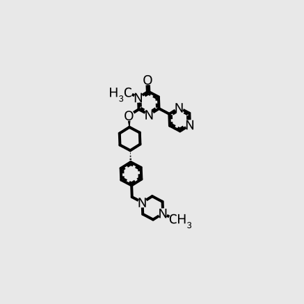 CN1CCN(Cc2ccc([C@H]3CC[C@H](Oc4nc(-c5ccncn5)cc(=O)n4C)CC3)cc2)CC1